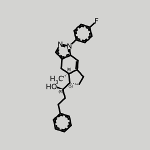 C[C@]12Cc3cnn(-c4ccc(F)cc4)c3C=C1CC[C@@H]2[C@H](O)CCc1ccccc1